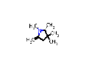 C=C1CC(C)(C)[C@@H](C)N1C